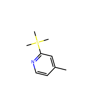 Cc1ccnc(S(C)(C)C)c1